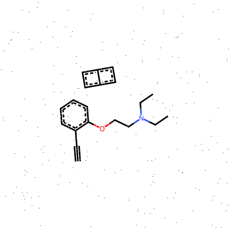 C#Cc1ccccc1OCCN(CC)CC.c1cc2ccc1-2